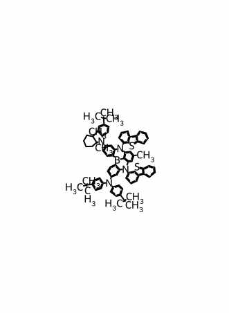 Cc1cc2c3c(c1)N(c1cccc4c1sc1ccccc14)c1cc(N4c5ccc(C(C)(C)C)cc5C5(C)CCCCC45C)ccc1B3c1ccc(N(c3ccc(C(C)(C)C)cc3)c3ccc(C(C)(C)C)cc3)cc1N2c1cccc2c1sc1ccccc12